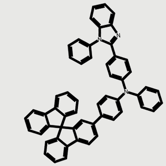 c1ccc(N(c2ccc(-c3ccc4c(c3)C3(c5ccccc5-c5ccccc53)c3ccccc3-4)cc2)c2ccc(-c3nc4ccccc4n3-c3ccccc3)cc2)cc1